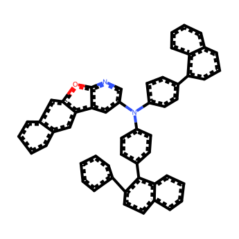 c1ccc(-c2ccc3ccccc3c2-c2ccc(N(c3ccc(-c4cccc5ccccc45)cc3)c3cnc4oc5cc6ccccc6cc5c4c3)cc2)cc1